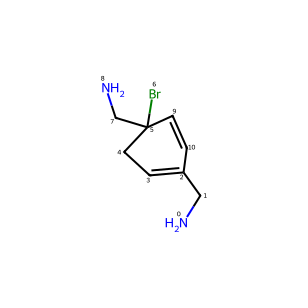 NCC1=CCC(Br)(CN)C=C1